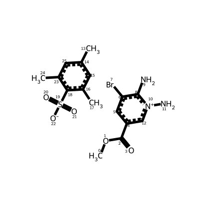 COC(=O)c1cc(Br)c(N)[n+](N)c1.Cc1cc(C)c(S(=O)(=O)[O-])c(C)c1